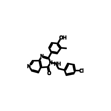 Cc1cc(-c2nc3cnccc3c(=O)n2NCc2ccc(Cl)cc2)ccc1O